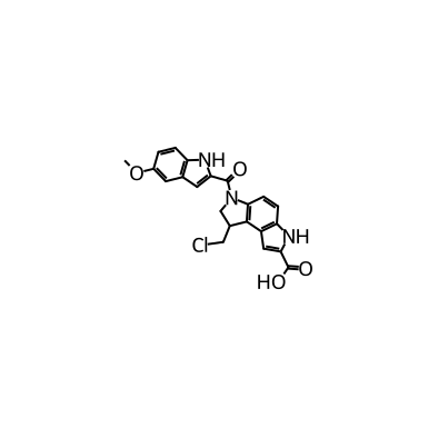 COc1ccc2[nH]c(C(=O)N3CC(CCl)c4c3ccc3[nH]c(C(=O)O)cc43)cc2c1